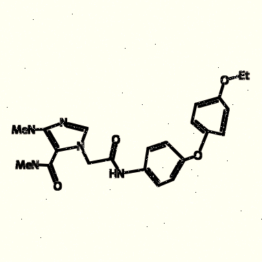 CCOc1ccc(Oc2ccc(NC(=O)Cn3cnc(NC)c3C(=O)NC)cc2)cc1